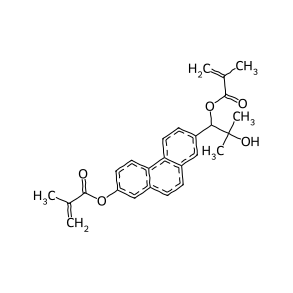 C=C(C)C(=O)Oc1ccc2c(ccc3cc(C(OC(=O)C(=C)C)C(C)(C)O)ccc32)c1